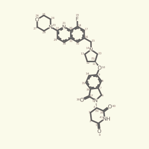 O=C1CC[C@H](N2Cc3cc(O[C@H]4CCN(Cc5cc(F)c6nc(N7CCOCC7)ccc6c5)C4)ccc3C2=O)C(=O)N1